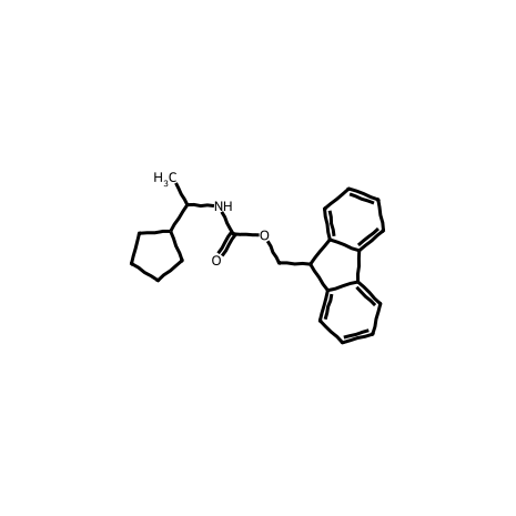 CC(NC(=O)OCC1c2ccccc2-c2ccccc21)C1CCCC1